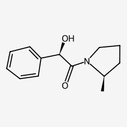 C[C@@H]1CCCN1C(=O)[C@H](O)c1ccccc1